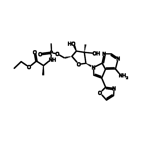 CCOC(=O)[C@H](C)NP(C)(=O)OC[C@H]1O[C@@H](n2cc(-c3ncco3)c3c(N)ncnc32)[C@](C)(O)[C@@H]1O